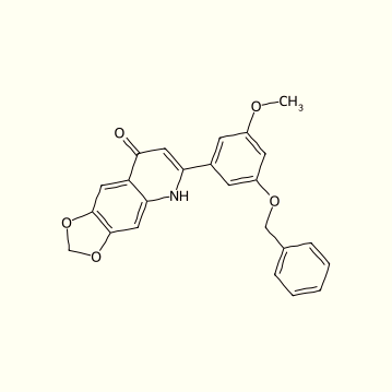 COc1cc(OCc2ccccc2)cc(-c2cc(=O)c3cc4c(cc3[nH]2)OCO4)c1